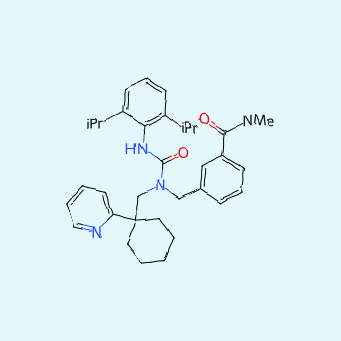 CNC(=O)c1cccc(CN(CC2(c3ccccn3)CCCCC2)C(=O)Nc2c(C(C)C)cccc2C(C)C)c1